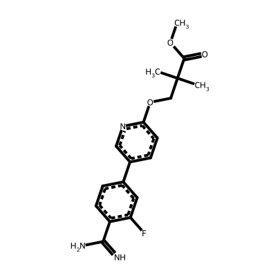 COC(=O)C(C)(C)COc1ccc(-c2ccc(C(=N)N)c(F)c2)cn1